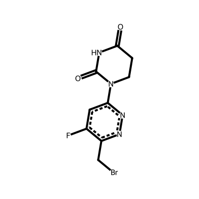 O=C1CCN(c2cc(F)c(CBr)nn2)C(=O)N1